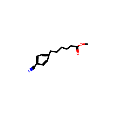 COC(=O)CCCCCc1ccc(C#N)cc1